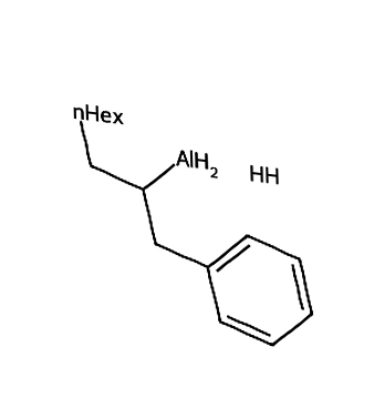 CCCCCCC[CH]([AlH2])Cc1ccccc1.[HH]